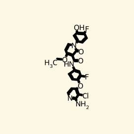 CCOc1ccn(-c2ccc(F)c(O)c2)c(=O)c1C(=O)Nc1ccc(Oc2ccnc(N)c2Cl)c(F)c1